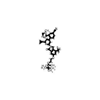 Cn1cnnc1-c1cc(C#N)ccc1-c1cc(C2CC2)nc(N2Cc3c(cc(OCCO[Si](C)(C)C(C)(C)C)cc3C(F)(F)F)C2=O)c1